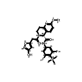 CCOc1ccc2c(n1)CCN(C(=O)Cc1cc(O)no1)[C@H]2C(=O)Nc1cc(F)c([Si](C)(C)C)c(F)c1